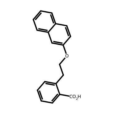 O=C(O)c1ccccc1CCOc1ccc2ccccc2c1